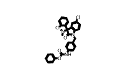 CN(C)C1(c2ccccc2Cl)C(=O)N(Cc2ccc(NC(=O)Oc3ccccc3)cc2)c2ccc(Cl)cc21